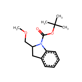 COCC1Cc2ccccc2N1C(=O)OC(C)(C)C